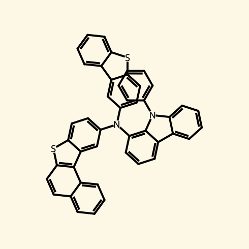 c1ccc(-n2c3ccccc3c3cccc(N(c4ccc5sc6ccccc6c5c4)c4ccc5sc6ccc7ccccc7c6c5c4)c32)cc1